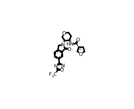 O=C(N[C@@H]1CCOC[C@H]1N1Cc2ccc(-c3noc(C(F)(F)F)n3)cc2C1=O)[C@H]1CCOC1